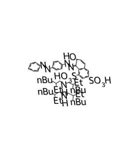 CCCCC(CC)CNCC(CC)CCCC.CCCCC(CC)CNCC(CC)CCCC.O=C1C=Cc2cc(S(=O)(=O)O)cc(S(=O)(=O)O)c2/C1=N/Nc1ccc(N=Nc2ccccc2)cc1